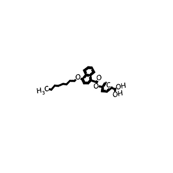 CCCCCCCCOc1ccc(C(=O)Oc2ccc(C(O)O)cc2)c2ccccc12